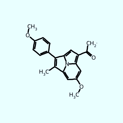 [CH2]C(=O)c1cc2c(-c3ccc(OC)cc3)c(C)c3cc(OC)cc1n32